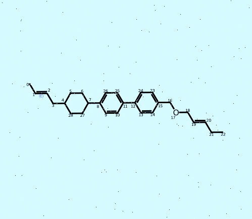 C/C=C/CC1CCC(c2ccc(-c3ccc(COCC=CCC)cc3)cc2)CC1